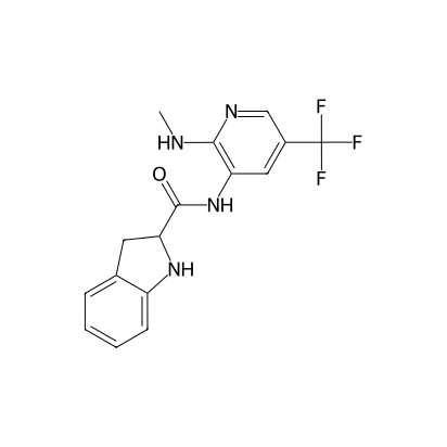 CNc1ncc(C(F)(F)F)cc1NC(=O)C1Cc2ccccc2N1